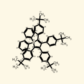 CC(C)(C)c1ccc(C2=C(c3ccc(C(C)(C)C)cc3)[Si](c3ccccc3)(c3ccccc3)C(c3ccc(C(C)(C)C)cc3)=C2c2ccc(C(C)(C)C)cc2)cc1